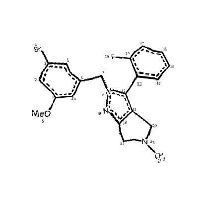 COc1cc(Br)cc(Cn2nc3c(c2-c2ccccc2F)CN(C)C3)c1